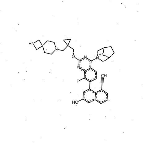 C#Cc1cccc2cc(O)cc(-c3ccc4c(N5CC6CCC(C5)N6)nc(OCC5(CN6CCC7(CC6)CNC7)CC5)nc4c3F)c12